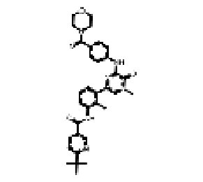 Cc1c(NC(=O)c2ccc(C(C)(C)C)nc2)cccc1-c1cn(C)c(=O)c(Nc2ccc(C(=O)N3CCOCC3)cc2)n1